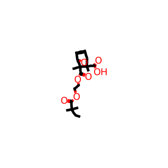 CCC(C)(C)C(=O)OCCOC(=O)C1(C)C2C=CC(O2)C1(C)C(=O)O